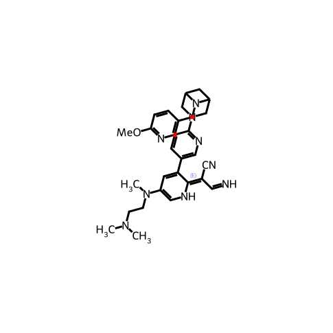 COc1ccc(CN2C3CC2CN(c2ccc(C4=CC(N(C)CCN(C)C)=CN/C4=C(/C#N)C=N)cn2)C3)cn1